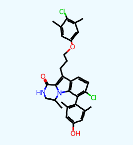 Cc1cc(OCCCc2c3n(c4c(-c5c(C)cc(O)cc5C)c(Cl)ccc24)C(C)CNC3=O)cc(C)c1Cl